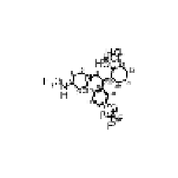 CNC1CCN(C[C@H](c2cccc(OC(F)(F)F)c2)C2CCCCC2O)CC1.Cl.Cl